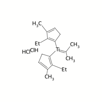 CCC1=[C]([Ti]([C]2=C(CC)C(C)=CC2)=[C](C)C)CC=C1C.Cl.Cl